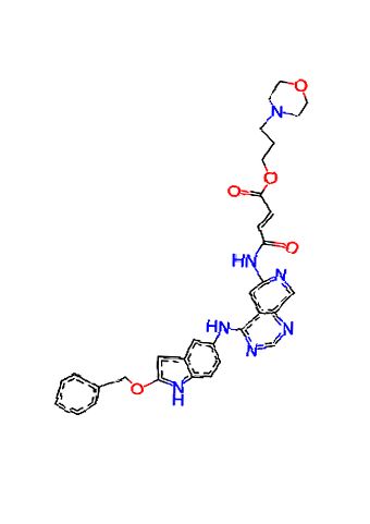 O=C(/C=C/C(=O)OCCCN1CCOCC1)Nc1cc2c(Nc3ccc4[nH]c(OCc5ccccc5)cc4c3)ncnc2cn1